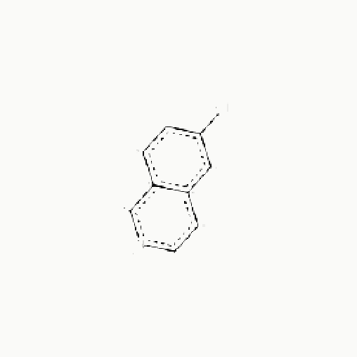 [2H]c1ccc2cnccc2c1